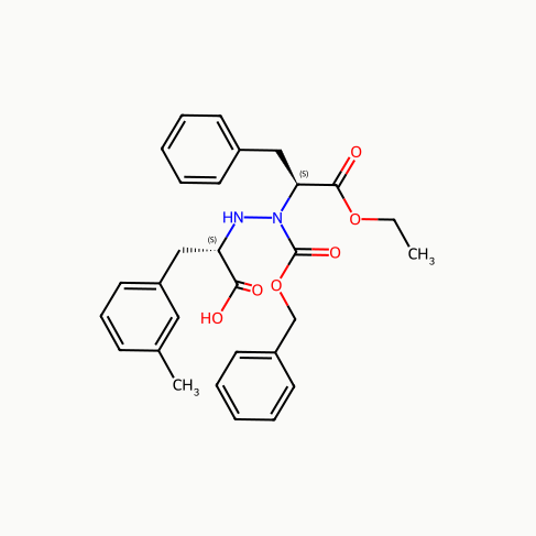 CCOC(=O)[C@H](Cc1ccccc1)N(N[C@@H](Cc1cccc(C)c1)C(=O)O)C(=O)OCc1ccccc1